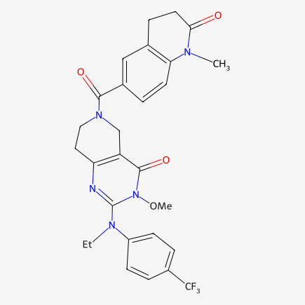 CCN(c1ccc(C(F)(F)F)cc1)c1nc2c(c(=O)n1OC)CN(C(=O)c1ccc3c(c1)CCC(=O)N3C)CC2